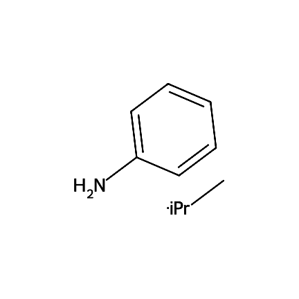 C[C](C)C.Nc1ccccc1